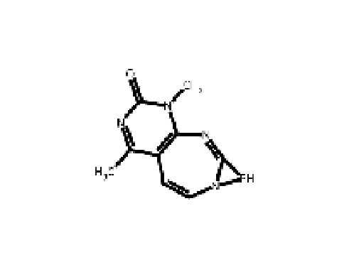 Cc1nc(=O)n(C)c2nc3[pH]n-3ccc12